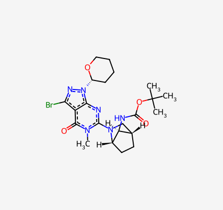 Cn1c(N2C[C@@H]3CC[C@H]2[C@H]3NC(=O)OC(C)(C)C)nc2c(c(Br)nn2[C@H]2CCCCO2)c1=O